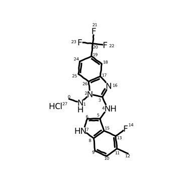 CNn1c(Nc2c[nH]c3ccc(C)c(F)c23)nc2cc(C(F)(F)F)ccc21.Cl